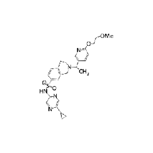 COCCOc1ccc([C@@H](C)N2CCc3ccc(S(=O)(=O)Nc4cnc(C5CC5)cn4)cc3C2)cn1